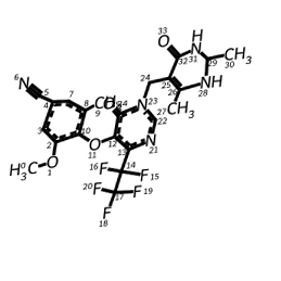 COc1cc(C#N)cc(C)c1Oc1c(C(F)(F)C(F)(F)F)ncn(CC2=C(C)NC(C)NC2=O)c1=O